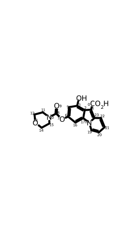 O=C(O)c1c2c(O)cc(OC(=O)N3CCOCC3)cc2n2ccccc12